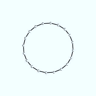 [CH]1C[CH]CCCCCCCCCCCCCCCCC1